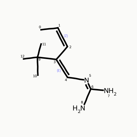 C/C=C\C(=C/N=C(N)N)C(C)(C)C